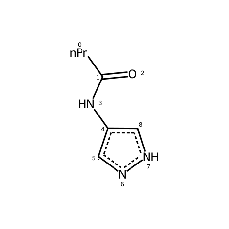 CCCC(=O)Nc1[c]n[nH]c1